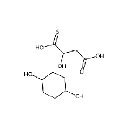 O=C(O)CC(O)C(O)=S.OC1CCC(O)CC1